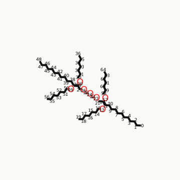 CCCCCCCCCCCC(OCCCCCCC)=C(COCOCOCC(OCCCCCCC)=C(CCCCCCCCCCC)OCCCCCCC)OCCCCCCC